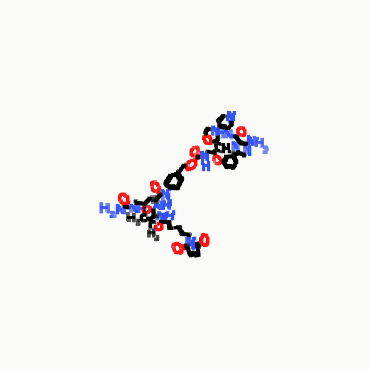 CC(CNC(=O)OCc1ccc(NC(=O)[C@H](CCCNC(N)=O)NC(=O)[C@@H](NC(=O)CCCCCN2C(=O)C=CC2=O)C(C)C)cc1)Oc1cccc(-c2cnc(N)c(C(=O)Nc3cnccc3N3CCOCC3)n2)c1